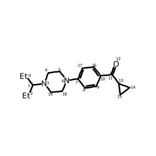 CCC(CC)N1CCN(c2ccc(C(=O)C3CC3)cc2)CC1